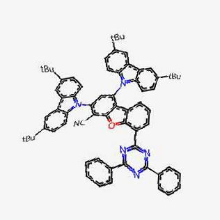 CC(C)(C)c1ccc2c(c1)c1cc(C(C)(C)C)ccc1n2-c1cc(-n2c3ccc(C(C)(C)C)cc3c3cc(C(C)(C)C)ccc32)c2c(oc3c(-c4nc(-c5ccccc5)nc(-c5ccccc5)n4)cccc32)c1C#N